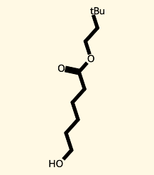 CC(C)(C)CCOC(=O)CCCCCO